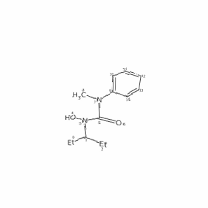 CCC(CC)N(O)C(=O)N(C)c1ccccc1